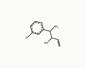 C=CC(O)C(N)c1cc(Cl)ccn1